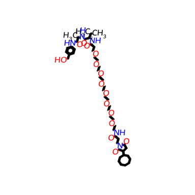 CC(C)[C@H](NC(=O)CCOCCOCCOCCOCCOCCOCCOCCOCCNC(=O)CCN1C(=O)CC(C2CCCCCCC2)C1=O)C(=O)N[C@@H](C)C(=O)Nc1ccc(CO)cc1